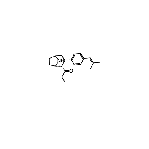 CCC(=O)[C@@H]1C2CCC(C[C@@H]1c1ccc(C=C(C)C)cc1)N2